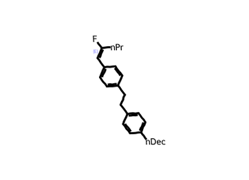 CCCCCCCCCCc1ccc(CCc2ccc(/C=C(/F)CCC)cc2)cc1